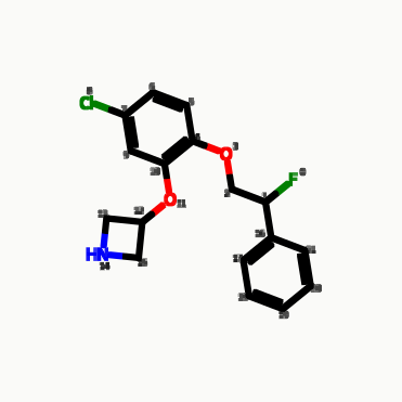 FC(COc1ccc(Cl)cc1OC1CNC1)c1ccccc1